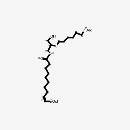 CCCCCCCC/C=C\CCCCCCCC(=O)OCC(CO)OCCCCCCCCCCCCCCCC